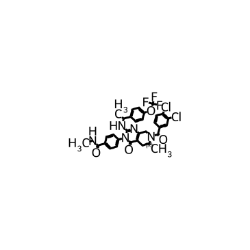 CNC(=O)c1ccc(-n2c(NC(C)c3ccc(OC(F)(F)F)cc3)nc3c(c2=O)C[C@@H](C)N(C(=O)c2ccc(Cl)c(Cl)c2)C3)cc1